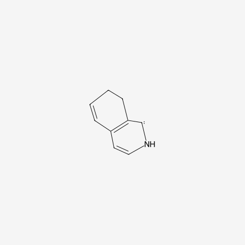 [C]1NC=CC2=C1CCC=C2